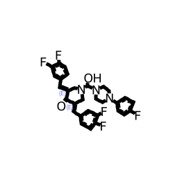 O=C1/C(=C/c2ccc(F)c(F)c2)CN(C(O)N2CCN(c3ccc(F)cc3)CC2)C/C1=C\c1ccc(F)c(F)c1